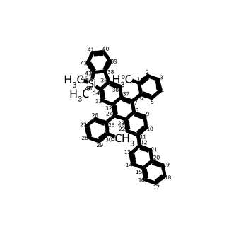 Cc1ccccc1-c1c2ccc(-c3ccc4ccccc4c3)cc2c(-c2ccccc2C)c2cc3c(cc12)-c1ccccc1[Si]3(C)C